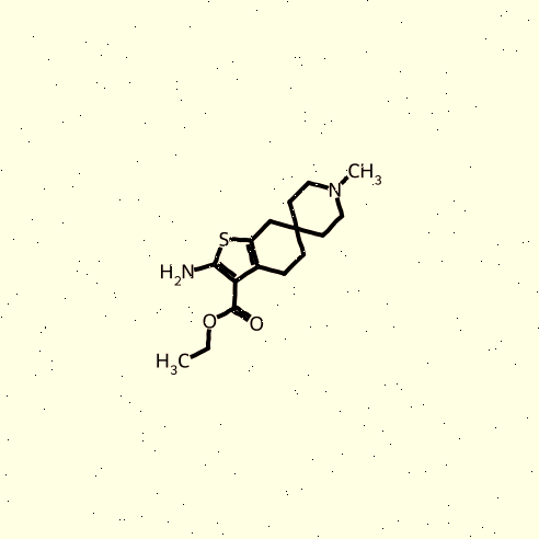 CCOC(=O)c1c(N)sc2c1CCC1(CCN(C)CC1)C2